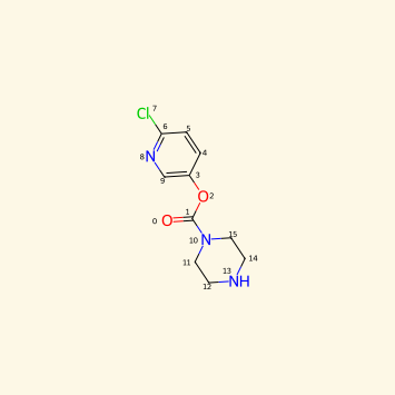 O=C(Oc1ccc(Cl)nc1)N1CCNCC1